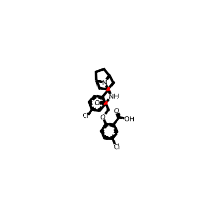 O=C(COc1ccc(Cl)cc1C(=O)O)NC1CC2CCC(C1)N2Cc1ccc(Cl)cc1